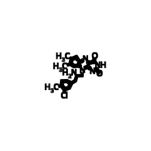 Cc1cc2nc3c(=O)[nH]c(=O)nc-3n(CC(N)Cc3ccc(C)c(Cl)c3)c2cc1C